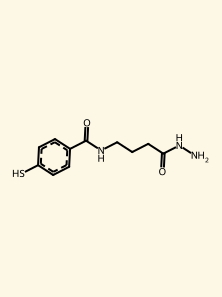 NNC(=O)CCCNC(=O)c1ccc(S)cc1